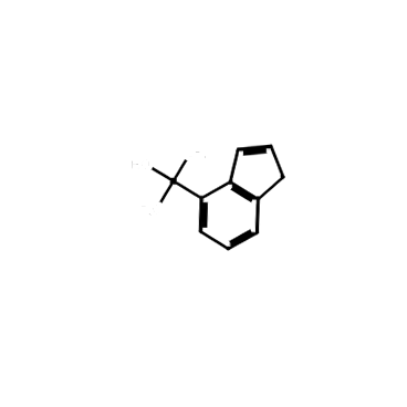 OC(c1cccc2c1C=CC2)(C(F)(F)F)C(F)(F)F